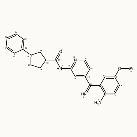 CC(C)Oc1ccc(N)c(C(=N)c2ccnc(NC(=O)C3CCN(c4ccccn4)C3)c2)c1